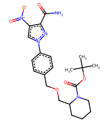 CC(C)(C)OC(=O)N1CCCCC1COCc1ccc(-n2cc([N+](=O)[O-])c(C(N)=O)n2)cc1